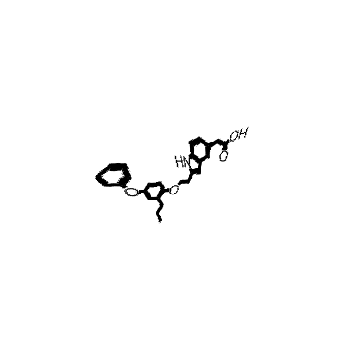 CCCc1cc(Oc2ccccc2)ccc1OCCc1cc2cc(CC(=O)O)ccc2[nH]1